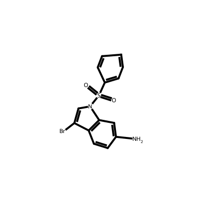 Nc1ccc2c(Br)cn(S(=O)(=O)c3ccccc3)c2c1